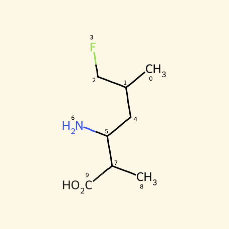 CC(CF)CC(N)C(C)C(=O)O